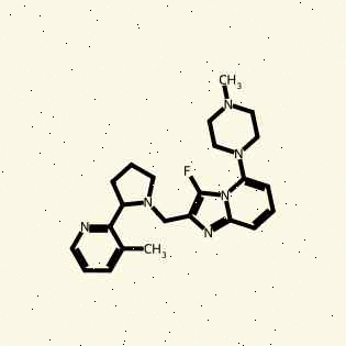 Cc1cccnc1C1CCCN1Cc1nc2cccc(N3CCN(C)CC3)n2c1F